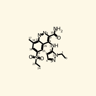 CCn1nccc1Nc1c(C(N)=O)nnc2c(C)cc(S(=O)(=O)CC)cc12